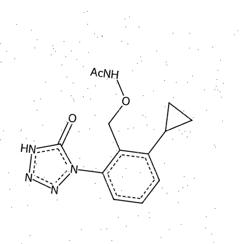 CC(=O)NOCc1c(C2CC2)cccc1-n1nn[nH]c1=O